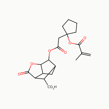 C=C(C)C(=O)OC1(CC(=O)OC2C3CC4C2OC(=O)C4C3C(=O)O)CCCC1